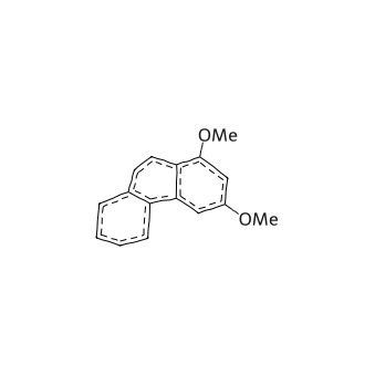 COc1cc(OC)c2ccc3ccccc3c2c1